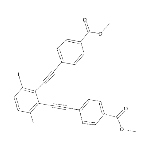 COC(=O)c1ccc(C#Cc2c(I)ccc(I)c2C#Cc2ccc(C(=O)OC)cc2)cc1